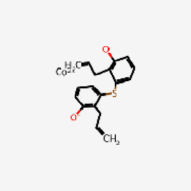 C=CCc1c([O-])cccc1Sc1cccc([O-])c1CC=C.[Co+2]